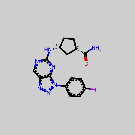 NC(=O)[C@H]1CC[C@@H](Nc2ncc3nnn(-c4ccc(I)cc4)c3n2)C1